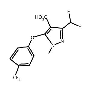 Cn1nc(C(F)F)c(C(=O)O)c1Oc1ccc(C(F)(F)F)cc1